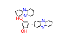 Cc1cc(O)cc(O)c1.c1ccc2nc3ccccc3nc2c1.c1ccc2nc3ccccc3nc2c1